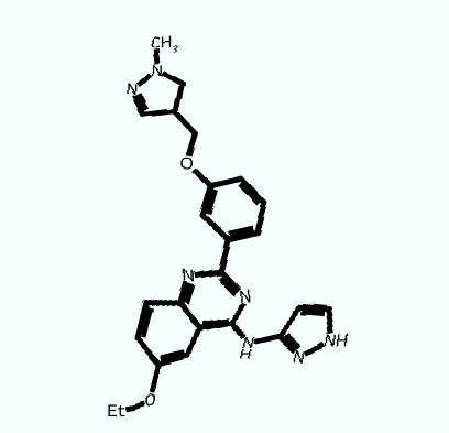 CCOc1ccc2nc(-c3cccc(OCC4C=NN(C)C4)c3)nc(Nc3cc[nH]n3)c2c1